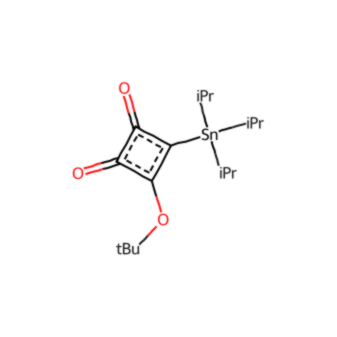 C[CH](C)[Sn]([c]1c(OC(C)(C)C)c(=O)c1=O)([CH](C)C)[CH](C)C